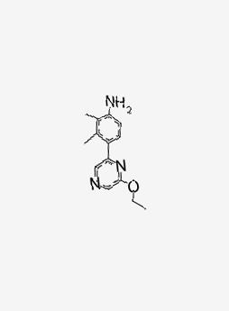 CCOc1cncc(-c2ccc(N)c(C)c2C)n1